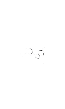 C=N/C=C\C(=N/CN)n1cc(C)c2ccc(Br)cc21